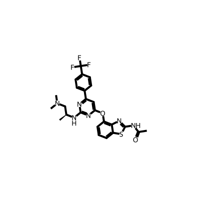 CC(=O)Nc1nc2c(Oc3cc(-c4ccc(C(F)(F)F)cc4)nc(N[C@@H](C)CN(C)C)n3)cccc2s1